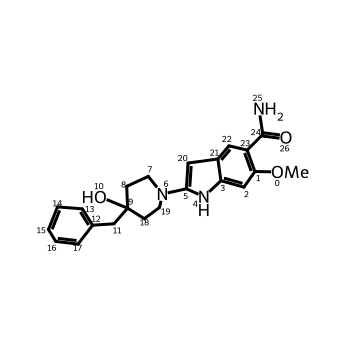 COc1cc2[nH]c(N3CCC(O)(Cc4ccccc4)CC3)cc2cc1C(N)=O